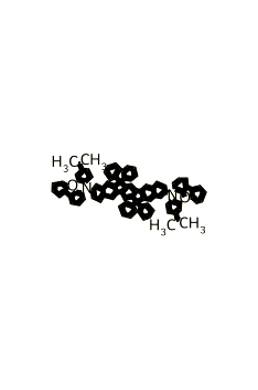 CC(C)c1ccc(N(c2ccc3cc4c(cc3c2)C(c2ccccc2)(c2ccccc2)c2cc3c(cc2-4)C(c2ccccc2)(c2ccccc2)c2cc4cc(N(c5ccc(C(C)C)cc5)c5cccc6c5oc5ccccc56)ccc4cc2-3)c2cccc3c2oc2ccccc23)cc1